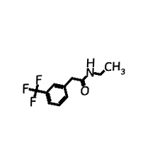 CCNC(=O)Cc1cccc(C(F)(F)F)c1